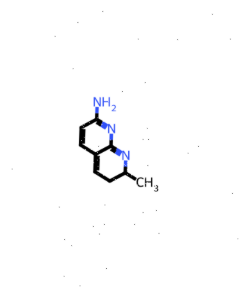 CC1CC=c2ccc(N)nc2=N1